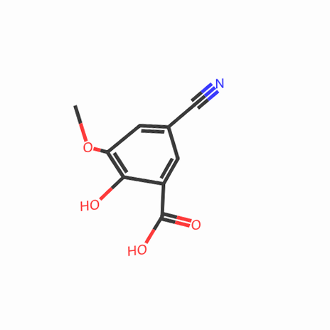 COc1cc(C#N)cc(C(=O)O)c1O